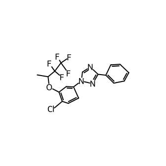 CC(Oc1cc(-n2cnc(-c3ccccc3)n2)ccc1Cl)C(F)(F)C(F)(F)F